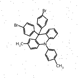 Cc1ccc(N2c3ccccc3C(c3ccc(Br)cc3)(c3ccc(Br)cc3)c3cc(C)ccc32)cc1